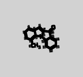 Cc1cccc2cc3n(c12)-c1ccccc1C3=O